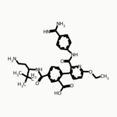 CCOc1ccc(-c2ccc(C(=O)NC(CCN)C(C)(C)C)cc2C(=O)O)c(C(=O)Nc2ccc(C(=N)N)cc2)n1